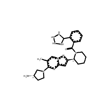 Cc1cn2nc([C@@H]3CCCCN3C(=O)c3ccccc3C3NNNN3)cc2nc1N1CC[C@H](N)C1